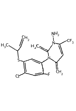 C=CC(C)Sc1cc(N2C(=C)C=C(C(F)(F)F)N(N)C2=C)c(F)cc1Cl